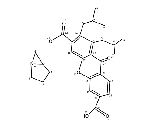 C1CC2CN2C1.CC(C)Cc1c(C(=O)O)cc2oc3cc(C(=O)O)ccc3c(=O)c2c1CC(C)C